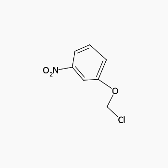 O=[N+]([O-])c1cccc(OCCl)c1